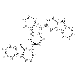 c1ccc2c(c1)oc1ccc(-n3c4ccccc4c4cc(-c5cccc6c5sc5ccccc56)ccc43)cc12